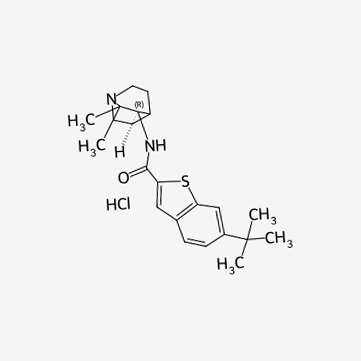 CC(C)(C)c1ccc2cc(C(=O)N[C@@H]3C4CCN(CC4)C3(C)C)sc2c1.Cl